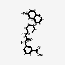 COC(=O)c1cccc(NC(=O)[C@H](C)[C@H]2CC[C@@H](c3ccnc4ccc(F)cc43)CC2)c1